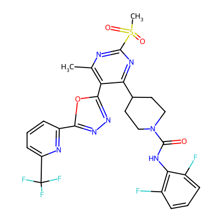 Cc1nc(S(C)(=O)=O)nc(C2CCN(C(=O)Nc3c(F)cccc3F)CC2)c1-c1nnc(-c2cccc(C(F)(F)F)n2)o1